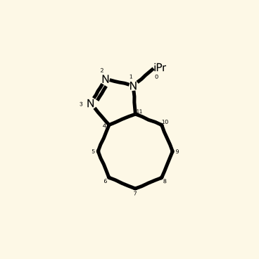 CC(C)N1N=NC2CCCCCCC21